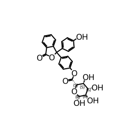 O=C1OC(c2ccc(O)cc2)(c2ccc(OC(=O)[C@H]3O[C@@H](O)[C@H](O)[C@@H](O)[C@@H]3O)cc2)c2ccccc21